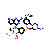 COc1cc2c(cc1Nc1nc(Nc3ccccc3N(O)P(C)C)c3cc[nH]c3n1)OCC1CN(C(C)C)CCN21